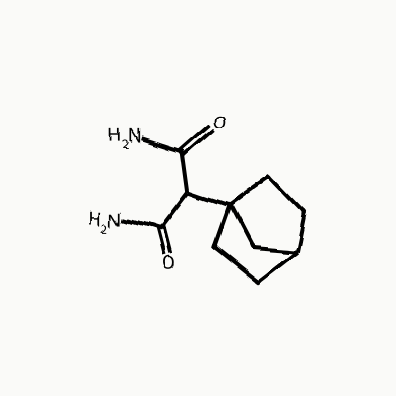 NC(=O)C(C(N)=O)C12CCC(CC1)C2